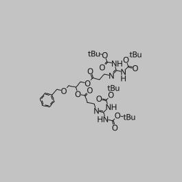 CC(C)(C)OC(=O)NC(=NCCC(=O)OCC(COCc1ccccc1)OC(=O)CCN=C(NC(=O)OC(C)(C)C)NC(=O)OC(C)(C)C)NC(=O)OC(C)(C)C